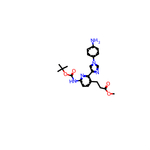 COC(=O)CCc1ccc(NC(=O)OC(C)(C)C)nc1-c1cn(-c2ccc(N)cc2)cn1